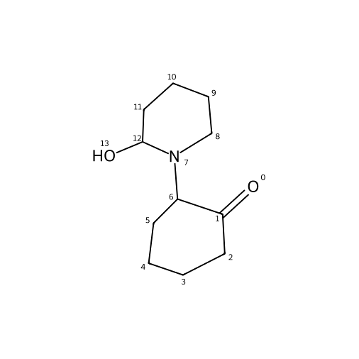 O=C1CCCCC1N1CCCCC1O